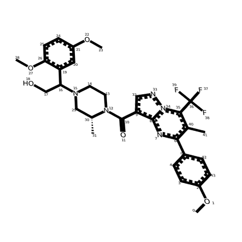 COc1ccc(-c2nc3c(C(=O)N4CCN(C(CO)c5cc(OC)ccc5OC)C[C@H]4C)cnn3c(C(F)(F)F)c2C)cc1